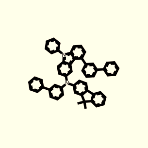 CC1(C)c2ccccc2-c2ccc(N(c3cccc(-c4ccccc4)c3)c3ccc4c(c3)c3c(-c5cccc(-c6ccccc6)c5)cccc3n4-c3ccccc3)cc21